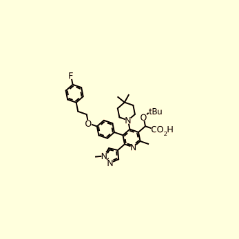 Cc1nc(-c2cnn(C)c2)c(-c2ccc(OCCc3ccc(F)cc3)cc2)c(N2CCC(C)(C)CC2)c1C(OC(C)(C)C)C(=O)O